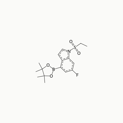 CCS(=O)(=O)n1ccc2c(B3OC(C)(C)C(C)(C)O3)cc(F)cc21